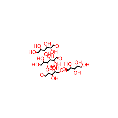 O=C[C@@H](O)[C@H](O)[C@H](O)CO.O=C[C@H](O)[C@@H](O)[C@@H](O)[C@H](O)CO.O=C[C@H](O)[C@@H](O)[C@H](O)CO.O=C[C@H](O)[C@@H](O)[C@H](O)[C@H](O)CO